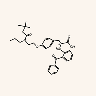 CCCN(CCOc1ccc(C[C@H](Nc2ccccc2C(=O)c2ccccc2)C(=O)O)cc1)C(=O)CC(C)(C)C